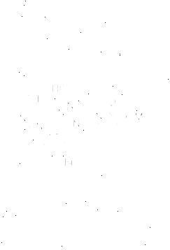 COc1cccn(Cc2nc3n(n2)Cc2c(C)ncn2-c2ccc(Br)cc2-3)c1=O.Cl